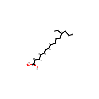 CCCC(CC)CCCCCCCCCCC(=O)O